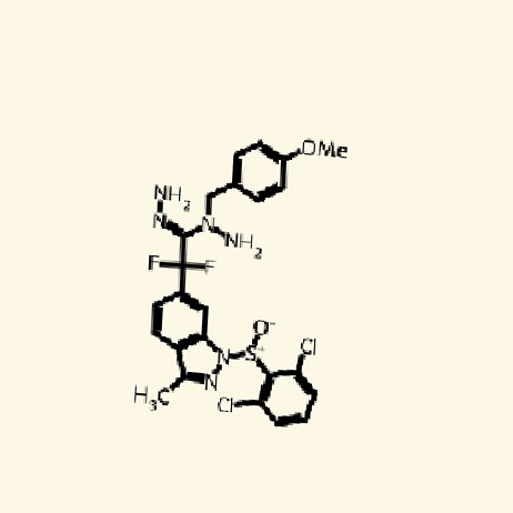 COc1ccc(CN(N)/C(=N\N)C(F)(F)c2ccc3c(C)nn([S+]([O-])c4c(Cl)cccc4Cl)c3c2)cc1